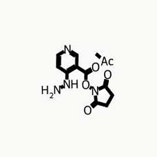 CC(C)=O.NNc1ccncc1C(=O)ON1C(=O)CCC1=O